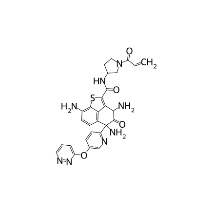 C=CC(=O)N1CCC(NC(=O)c2sc3c(N)ccc4c3c2C(N)C(=O)C4(N)c2ccc(Oc3cccnn3)cn2)C1